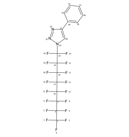 FC(F)(F)C(F)(F)C(F)(F)C(F)(F)C(F)(F)C(F)(F)C(F)(F)C(F)(F)n1cc(-c2ccccc2)nn1